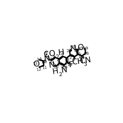 Cc1c(-c2cc3cc(N(C(=O)O)[C@H]4CCOC4)ncc3c(N)c2F)cnc2c1[C@@H](C#N)CCO2